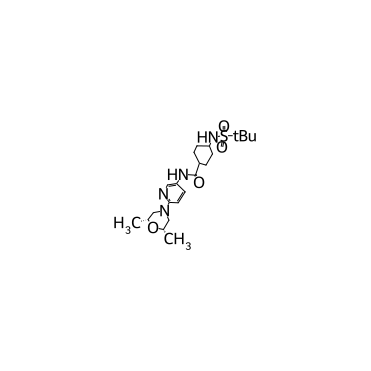 C[C@@H]1CN(c2ccc(NC(=O)C3CCC(NS(=O)(=O)C(C)(C)C)CC3)cn2)C[C@H](C)O1